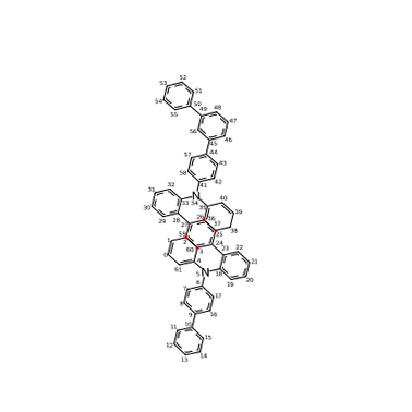 C1=CCCC(N(c2ccc(-c3ccccc3)cc2)c2ccccc2-c2ccc(-c3ccccc3N(C3=CCCC=C3)c3ccc(-c4cccc(-c5ccccc5)c4)cc3)cc2)=C1